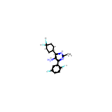 Cc1nc(-c2cc(F)ccc2F)c(N)c(C2CCC(F)(F)CC2)n1